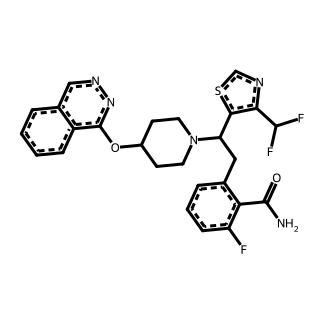 NC(=O)c1c(F)cccc1CC(c1scnc1C(F)F)N1CCC(Oc2nncc3ccccc23)CC1